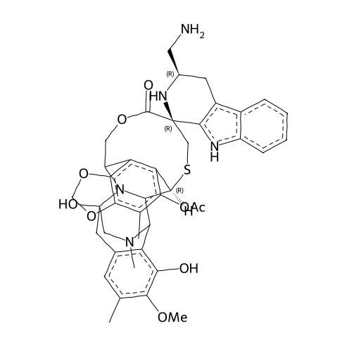 COc1c(C)cc2c(c1O)C1C3[C@@H]4SC[C@]5(N[C@@H](CN)Cc6c5[nH]c5ccccc65)C(=O)OCC(c5c6c(c(C)c(OC(C)=O)c54)OCO6)N3C(O)(C2)CN1C